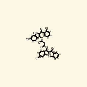 O=C(CC(=O)Oc1c(C(=O)c2ccccc2Cl)[nH]c2cc(Cl)ccc12)Oc1c(C(=O)c2ccccc2Cl)[nH]c2cc(Cl)ccc12